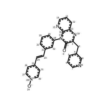 O=c1c(Cc2cccnc2)nc2cccnc2n1-c1cccc(C=Cc2cc[n+]([O-])cc2)c1